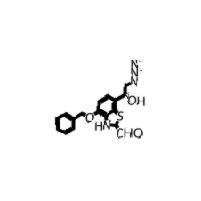 [N-]=[N+]=NC[C@H](O)c1ccc(OCc2ccccc2)c2c1SC(C=O)N2